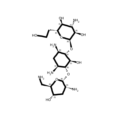 NC[C@H]1O[C@H](O[C@H]2[C@H](O)[C@@H](O[C@H]3O[C@H](CCO)[C@@H](O)[C@H](N)[C@H]3O)[C@H](N)C[C@@H]2N)[C@H](N)C[C@@H]1O